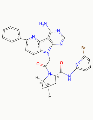 Nc1ncnc2c1c1nc(-c3ccccc3)ccc1n2CC(=O)N1[C@@H]2C[C@@H]2C[C@H]1C(=O)Nc1cccc(Br)n1